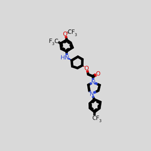 O=C(CO[C@H]1CC[C@H](Nc2ccc(OC(F)(F)F)c(C(F)(F)F)c2)CC1)N1CCN(c2ccc(C(F)(F)F)cc2)CC1